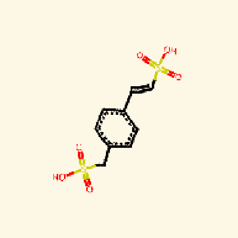 O=S(=O)(O)C=Cc1ccc(CS(=O)(=O)O)cc1